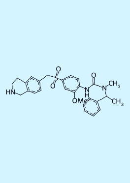 COc1cc(S(=O)(=O)Cc2ccc3c(c2)CCNC3)ccc1NC(=O)N(C)C(C)c1ccccc1